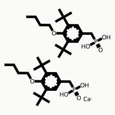 CCCCOc1c(C(C)(C)C)cc(CP(=O)(O)O)cc1C(C)(C)C.CCCCOc1c(C(C)(C)C)cc(CP(=O)(O)O)cc1C(C)(C)C.[Ca]